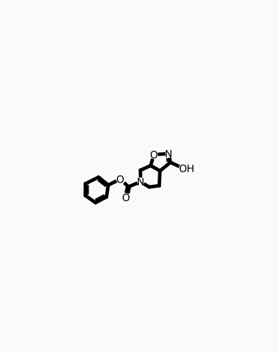 O=C(Oc1ccccc1)N1CCC2C(O)=NOC2C1